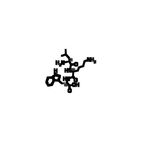 CC(C)C[C@H](N)C(=O)N[C@@H](CCCCN)C(=O)N[C@@H](Cc1c[nH]c2ccccc12)C(=O)O